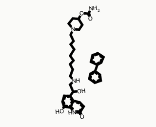 NC(=O)OC1CCN(CCCCCCCCCNCC(O)c2ccc(O)c3[nH]c(=O)ccc23)CC1.c1ccc(-c2ccccc2)cc1